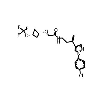 C=C(CCNC(=O)CO[C@H]1C[C@@H](OC(F)(F)F)C1)c1cnn(-c2ccc(Cl)cc2)c1